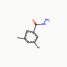 CC(=O)c1cc(C)cc(C(=O)NN)c1